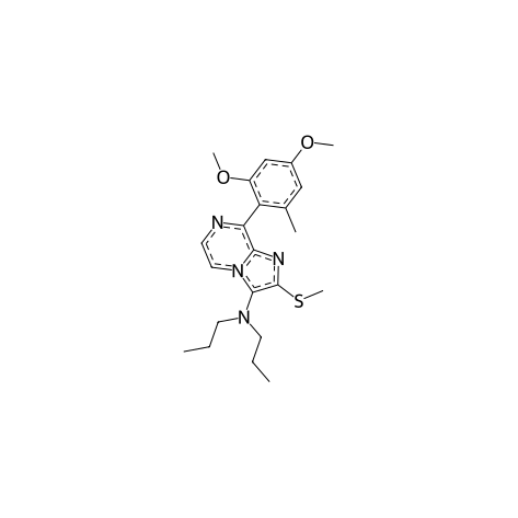 CCCN(CCC)c1c(SC)nc2c(-c3c(C)cc(OC)cc3OC)nccn12